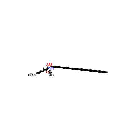 CC#CC#CC#CC#CC#CC#CC#CC#CC#CC#CC#CC#CC(=O)N[C@@H](CO)[C@H](O[Si](C)(C)C(C)(C)C)[C@H](C)CCCCCCCCCCCCCC